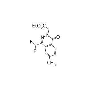 CCOC(=O)Cn1nc(C(F)F)c2cc(C)ccc2c1=O